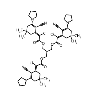 CC1(C)CC(N2CCCC2)=C(C#N)/C(=C(\Cl)C(=O)OCC(COC(=O)/C(Cl)=C2\CC(C)(C)CC(N3CCCC3)=C2C#N)COC(=O)/C(Cl)=C2\CC(C)(C)CC(N3CCCC3)=C2C#N)C1